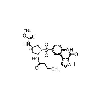 CC(C)(C)OC(=O)N[C@@H]1CCN(S(=O)(=O)c2ccc3[nH]c(=O)c4[nH]ccc4c3c2)C1.CCCC(=O)O